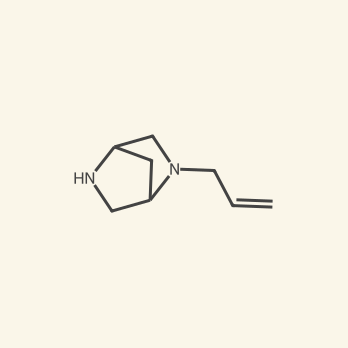 C=CCN1CC2CC1CN2